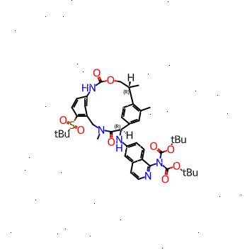 Cc1cc2ccc1[C@@H](C)COC(=O)Nc1ccc(S(=O)(=O)C(C)(C)C)c(c1)CN(C)C(=O)[C@@H]2Nc1ccc2c(N(C(=O)OC(C)(C)C)C(=O)OC(C)(C)C)nccc2c1